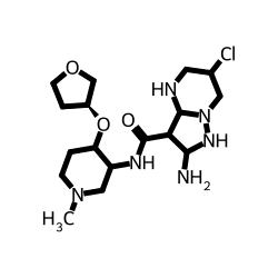 CN1CCC(O[C@H]2CCOC2)C(NC(=O)C2C(N)NN3CC(Cl)CNC23)C1